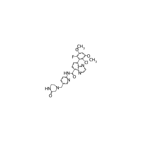 COc1cc(OC)c(Cl)c(-c2ccc(C(=O)Nc3ccc(CN4CCNC(=O)C4)cn3)c3nccnc23)c1F